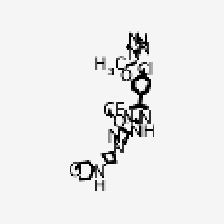 CC(Cn1cnnn1)Oc1cc(-c2cnc(Nc3cn([C@H]4C[C@H](NC5CCOCC5)C4)nc3OCC(F)(F)F)nc2)ccc1Cl